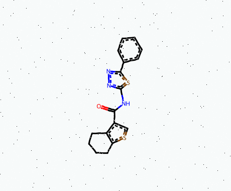 O=C(Nc1nnc(-c2ccccc2)s1)c1csc2c1CCCC2